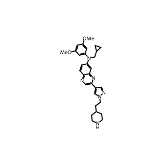 COc1cc(OC)cc(N(CC2CC2)c2ccc3ncc(-c4cnn(CCC5CCNCC5)c4)nc3c2)c1